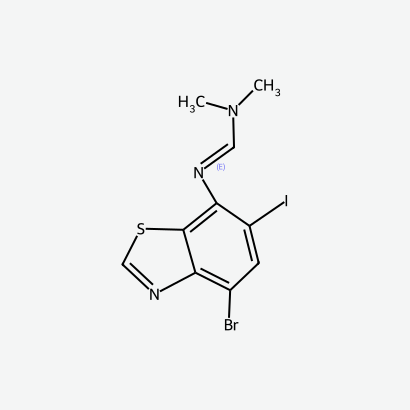 CN(C)/C=N/c1c(I)cc(Br)c2ncsc12